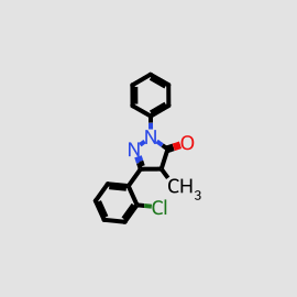 CC1C(=O)N(c2ccccc2)N=C1c1ccccc1Cl